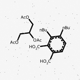 CC(=O)OCC(COC(C)=O)OC(C)=O.CCCCc1ccc(C(=O)O)c(C(=O)O)c1CCCC